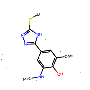 CCSc1nnc(-c2cc(NOC)c(O)c(OC)c2)[nH]1